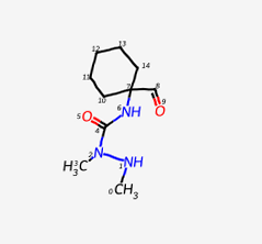 CNN(C)C(=O)NC1(C=O)CCCCC1